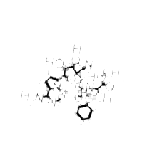 COC(=O)[C@H](C)N[P@](=O)(OC[C@@]1(C#N)O[C@@H](c2ccc3c(N)ncnn23)[C@H](O)[C@@H]1O)Oc1ccccc1